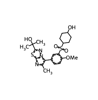 COc1ccc(-c2c(C)nc3sc(C(C)(C)O)nn23)cc1S(=O)(=O)C1CCC(O)CC1